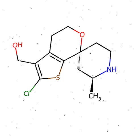 C[C@H]1C[C@@]2(CCN1)OCCc1c2sc(Cl)c1CO